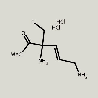 COC(=O)C(N)(/C=C/CN)CF.Cl.Cl